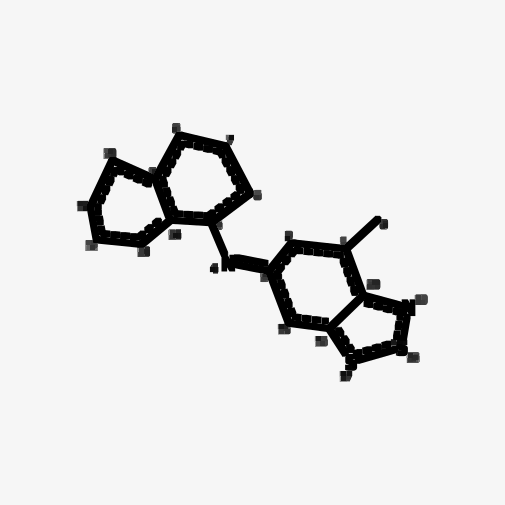 Cc1cc(=Nc2cccc3ccccc23)cc2ssnc1-2